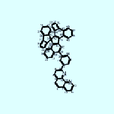 c1cc(-c2ccc3ccc4cccnc4c3n2)cc(-c2cc3c(c4ccccc24)C2(c4ccccc4-c4ccccc42)c2c-3c3ccccc3c3ccccc23)c1